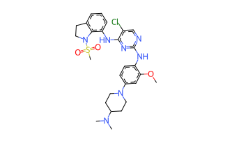 COc1cc(N2CCC(N(C)C)CC2)ccc1Nc1ncc(Cl)c(Nc2cccc3c2N(S(C)(=O)=O)CC3)n1